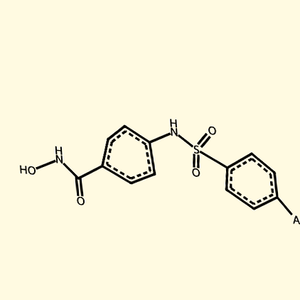 CC(=O)c1ccc(S(=O)(=O)Nc2ccc(C(=O)NO)cc2)cc1